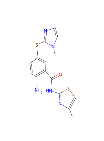 Cc1csc(NC(=O)c2cc(Sc3nccn3C)ccc2N)n1